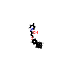 CC1CCN(CC(O)CCOc2ccc(C34CC5CC6CC(C3)C654)cc2)CC1